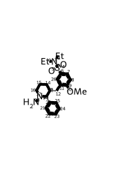 CCN(CC)S(=O)(=O)c1ccc(OC)c(C[C@H]2CCCN(N)[C@H]2c2ccccc2)c1